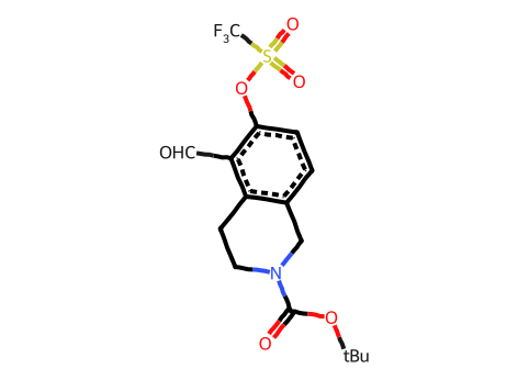 CC(C)(C)OC(=O)N1CCc2c(ccc(OS(=O)(=O)C(F)(F)F)c2C=O)C1